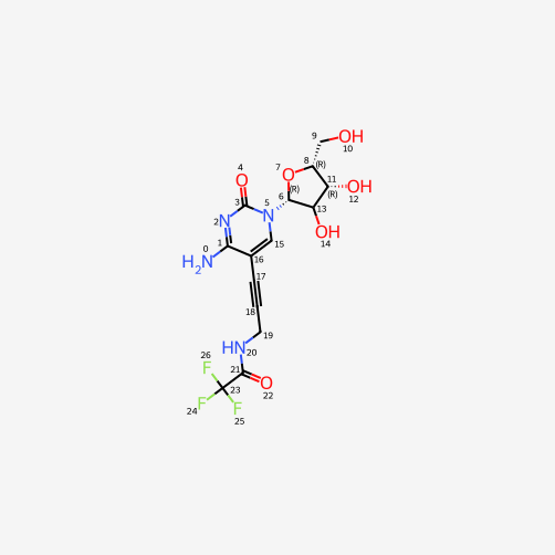 Nc1nc(=O)n([C@@H]2O[C@H](CO)[C@H](O)C2O)cc1C#CCNC(=O)C(F)(F)F